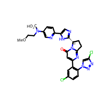 COCCN(C(=O)O)c1ccc(-c2cnc([C@@H]3CCc4nc(-c5cc(Cl)ccc5-n5cc(Cl)nn5)cc(=O)n43)[nH]2)nc1